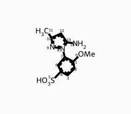 COc1ccc(S(=O)(=O)O)cc1-n1nc(C)cc1N